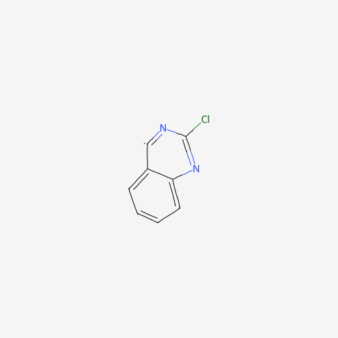 Clc1n[c]c2ccccc2n1